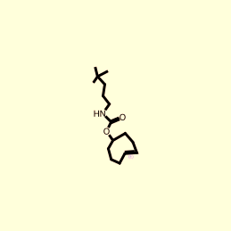 CC(C)(C)CCCNC(=O)OC1CC/C=C/CCC1